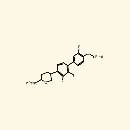 CCCCCOc1ccc(-c2ccc(C3CCC(CCCCC)OC3)c(F)c2F)cc1F